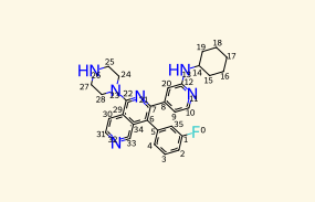 Fc1cccc(-c2c(-c3ccnc(NC4CCCCC4)c3)nc(N3CCNCC3)c3ccncc23)c1